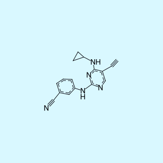 C#Cc1cnc(Nc2cccc(C#N)c2)nc1NC1CC1